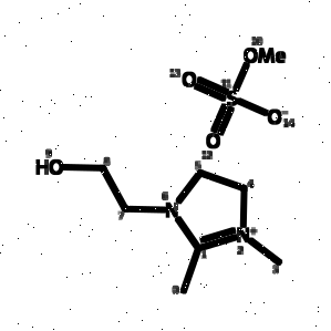 CC1=[N+](C)CCN1CCO.COS(=O)(=O)[O-]